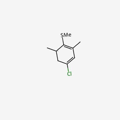 CSC1=C(C)C=C(Cl)C[C]1C